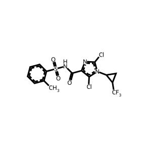 Cc1ccccc1S(=O)(=O)NC(=O)c1nc(Cl)n(C2CC2C(F)(F)F)c1Cl